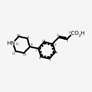 O=C(O)/C=C/c1cccc(C2CCNCC2)c1